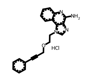 Cl.Nc1nc2ccccc2c2c1ncn2CCOCC#Cc1ccccc1